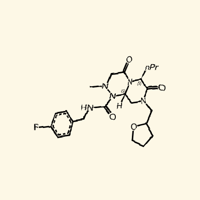 CCC[C@H]1C(=O)N(CC2CCCO2)C[C@H]2N1C(=O)CN(C)N2C(=O)NCc1ccc(F)cc1